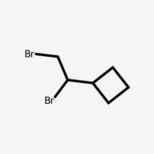 BrCC(Br)C1CCC1